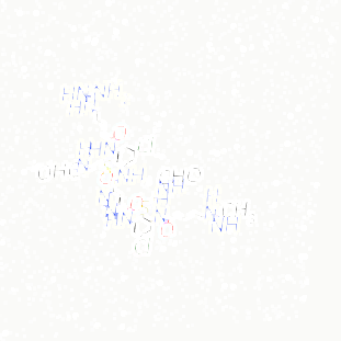 CC(=N)NCCCCC(=O)Nc1cc(Cl)cc(NC(=O)c2cc(C(=O)Nc3cc(Cl)cc(NC(=O)CCCCNC(=N)N)c3SCCNC=O)ncn2)c1SCCNC=O